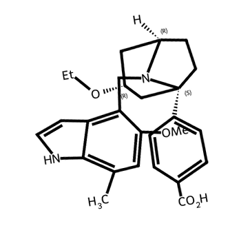 CCO[C@@H]1C[C@H]2CC[C@@](c3ccc(C(=O)O)cc3)(C1)N2Cc1c(OC)cc(C)c2[nH]ccc12